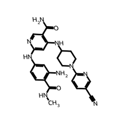 CNC(=O)c1ccc(Nc2cc(NC3CCN(c4ccc(C#N)cn4)CC3)c(C(N)=O)cn2)cc1N